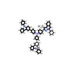 Cc1c(-c2ccc(N(c3ccc(-c4ccc5c(c4)c4ccccc4n5-c4cc#ccc4)cc3)c3ccc([C@H]4C=C5c6ccccc6N(c6ccccc6)[C@H]5CC4)cc3)cc2)nn2c(C3CCCCC3)cc3ccccc3c12